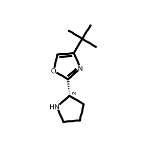 CC(C)(C)c1coc([C@@H]2CCCN2)n1